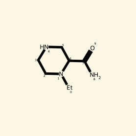 CCN1CCNCC1C(N)=O